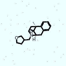 C[C@@H]1[C@H]2Cc3ccccc3[C@]1(C)CCN2CC1CCOC1